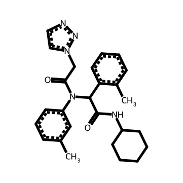 Cc1cccc(N(C(=O)Cn2ccnn2)C(C(=O)NC2CCCCC2)c2ccccc2C)c1